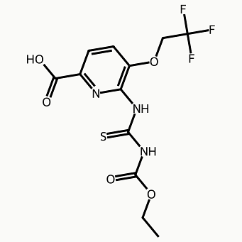 CCOC(=O)NC(=S)Nc1nc(C(=O)O)ccc1OCC(F)(F)F